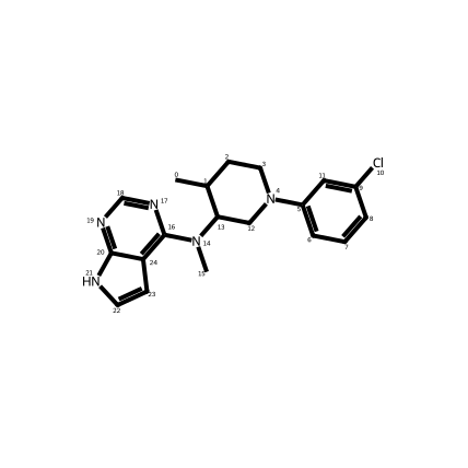 CC1CCN(c2cccc(Cl)c2)CC1N(C)c1ncnc2[nH]ccc12